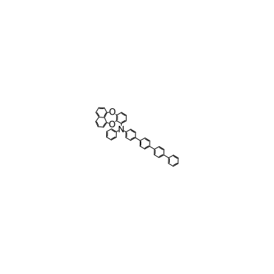 c1ccc(-c2ccc(-c3ccc(-c4ccc(N(c5ccccc5)c5cccc6c5Oc5cccc7cccc(c57)O6)cc4)cc3)cc2)cc1